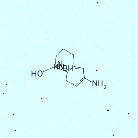 NC1=CCC23BNN(O)C2CCCC3=C1